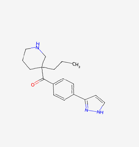 CCCC1(C(=O)c2ccc(-c3cc[nH]n3)cc2)CCCNC1